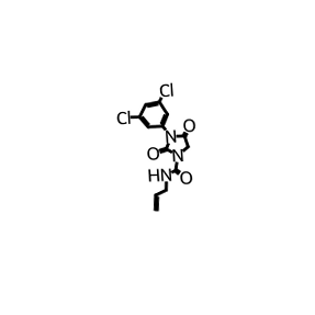 C=CCNC(=O)N1CC(=O)N(c2cc(Cl)cc(Cl)c2)C1=O